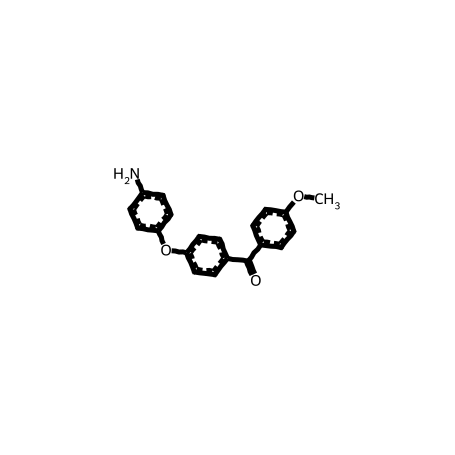 COc1ccc(C(=O)c2ccc(Oc3ccc(N)cc3)cc2)cc1